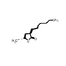 CCCCC/C=C1/C[C@@H](C)OC1=O